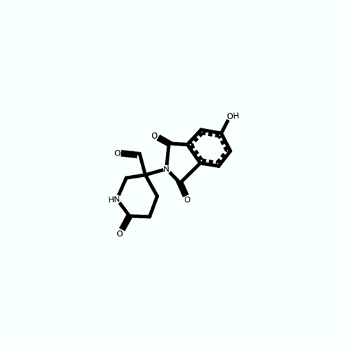 O=CC1(N2C(=O)c3ccc(O)cc3C2=O)CCC(=O)NC1